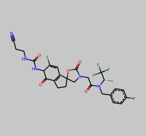 C[C@H](N(Cc1ccc(F)cc1)C(=O)CN1CC2(CCC3=C2C=C(F)C(NC(=O)NCCC#N)C3=O)OC1=O)C(F)(F)F